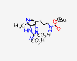 Cc1ncc(CCCNC(=O)OC(C)(C)C)cc1NC(=NC(=O)O)NC(=O)O